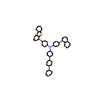 c1ccc(-c2ccc(-c3ccc(N(c4ccc(-c5cccc6ccccc56)cc4)c4ccc(-c5cccc6c5sc5ccccc56)cc4)cc3)cc2)cc1